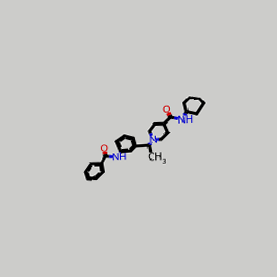 CC(c1cccc(NC(=O)c2ccccc2)c1)N1CCC(C(=O)NC2CCCCC2)CC1